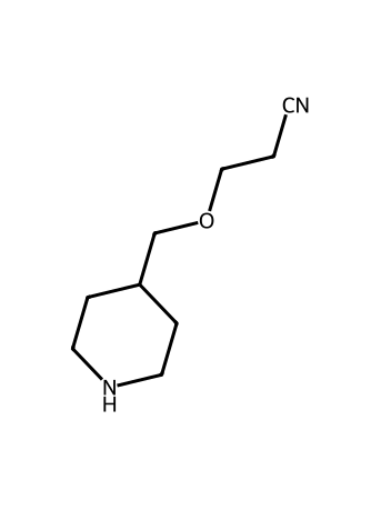 N#CCCOCC1CCNCC1